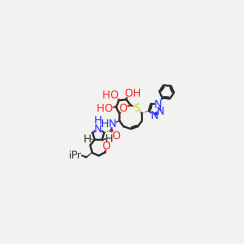 CC(C)C[C@@H]1CCO[C@@H]2[C@H](CN[C@@H]2C(=O)N[C@@H]2C/C=C\C[C@@H](c3cn(-c4ccccc4)nn3)SC3OC2C(O)C(O)C3O)C1